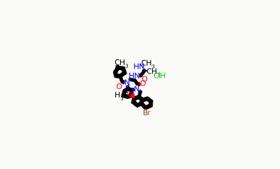 CN[C@@H](C)C(=O)N[C@H]1CN(C(=O)c2ccc(C)cc2)c2ccccc2N(Cc2c(OC)ccc3c(Br)cccc23)C1=O.Cl